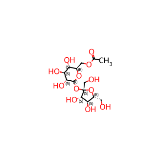 CC(=O)OC[C@H]1O[C@H](O[C@]2(CO)O[C@H](CO)[C@@H](O)[C@@H]2O)[C@H](O)[C@@H](O)[C@@H]1O